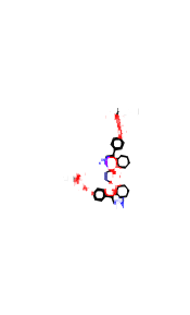 CN(C)CC(c1ccc(OCOC(=O)C(C)(C)C)cc1)C1(OC(=O)/C=C\C(=O)OC2(C(CN(C)C)c3ccc(OCOC(=O)C(C)(C)C)cc3)CCCCC2)CCCCC1